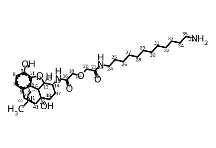 CN1CC[C@]23c4c5ccc(O)c4O[C@H]2[C@@H](NC(=O)COCC(=O)NCCCCCCCCCCCCN)CC[C@@]3(O)C1C5